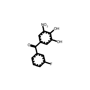 O=C(c1cccc(F)c1)c1cc(O)c(O)c([N+](=O)[O-])c1